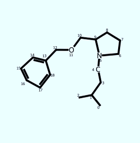 CC(C)CCN1CCCC1COCc1ccccc1